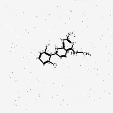 CCNc1nc(N)nc2nc(-c3c(F)cccc3Cl)ccc12